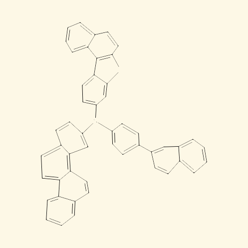 c1ccc2cc(-c3ccc(N(c4ccc5c(c4)sc4ccc6ccccc6c45)c4ccc5ccc6c7ccccc7ccc6c5c4)cc3)ccc2c1